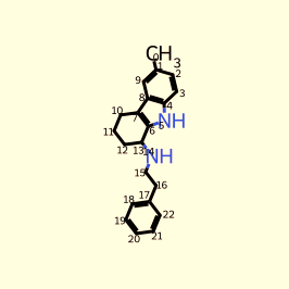 Cc1ccc2[nH]c3c(c2c1)CCCC3NCCc1ccccc1